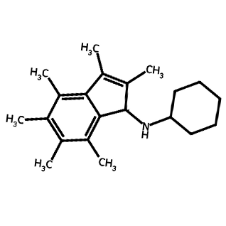 CC1=C(C)c2c(C)c(C)c(C)c(C)c2[C]1NC1CCCCC1